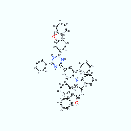 c1ccc(-c2nc(-c3cc(-c4ccccc4)c(-n4c5ccccc5c5cc6oc7ccccc7c6cc54)c(-c4ccccc4)c3)nc(-c3ccc4c(c3)oc3ccccc34)n2)cc1